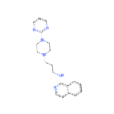 c1cnc(N2CCN(CCCNc3nccc4ccccc34)CC2)nc1